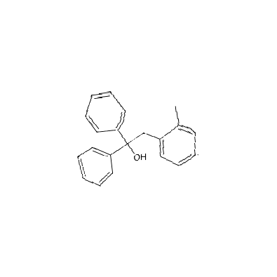 Cc1c[c]ccc1CC(O)(c1ccccc1)c1ccccc1